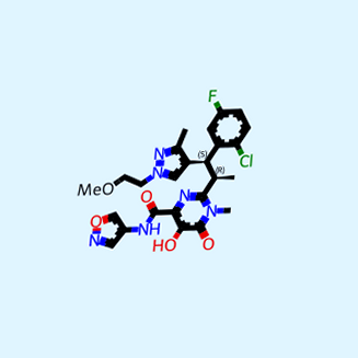 COCCn1cc([C@@H](c2cc(F)ccc2Cl)[C@@H](C)c2nc(C(=O)Nc3cnoc3)c(O)c(=O)n2C)c(C)n1